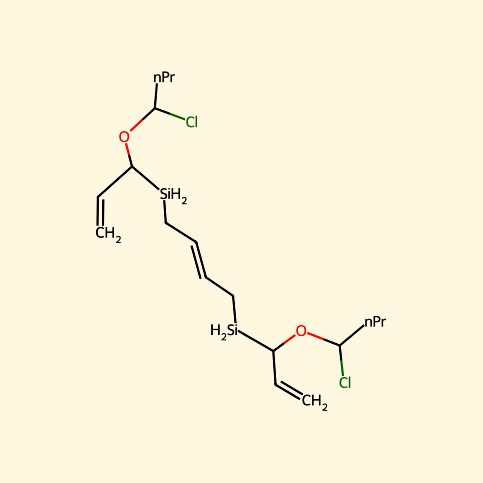 C=CC(OC(Cl)CCC)[SiH2]CC=CC[SiH2]C(C=C)OC(Cl)CCC